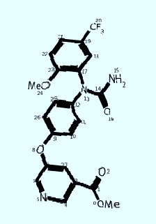 COC(=O)c1cncc(Oc2ccc(N(C(N)=O)c3cc(C(F)(F)F)ccc3OC)cc2)c1